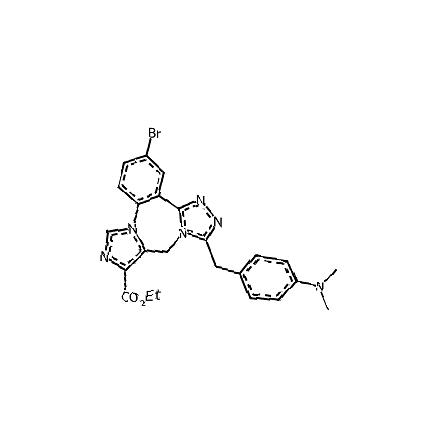 CCOC(=O)c1ncn2c1Cn1c(Cc3ccc(N(C)C)cc3)nnc1-c1cc(Br)ccc1-2